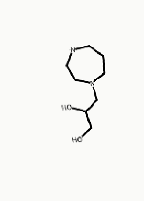 OCC(O)CN1CCC[N]CC1